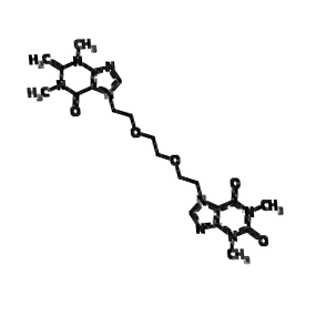 C=C1N(C)C(=O)c2c(ncn2CCOCCOCCn2cnc3c2c(=O)n(C)c(=O)n3C)N1C